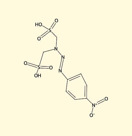 O=[N+]([O-])c1ccc(N=NN(CS(=O)(=O)O)CS(=O)(=O)O)cc1